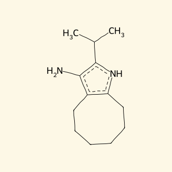 CC(C)c1[nH]c2c(c1N)CCCCCC2